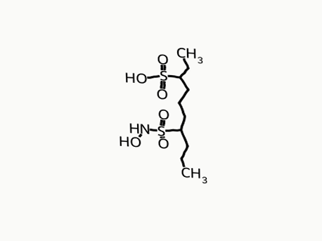 CCCC(CCCC(CC)S(=O)(=O)O)S(=O)(=O)NO